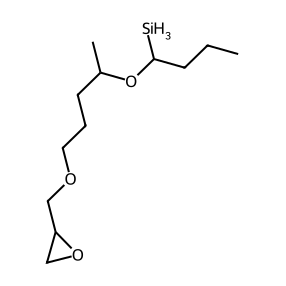 CCCC([SiH3])OC(C)CCCOCC1CO1